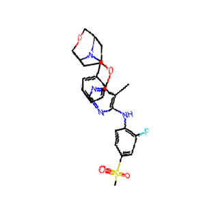 Cc1c(Nc2ccc(S(C)(=O)=O)cc2F)ncnc1OC1CC2COCC(C1)N2Cc1ccccc1